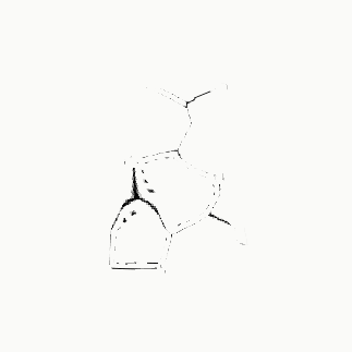 O=C(O)c1nc(Cl)c2nccc-2[nH]1